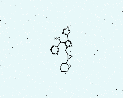 OC(c1cccnc1)c1c(-c2ccsc2)csc1CC1CC1C1CCCCO1